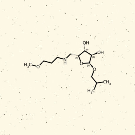 COCCCNC[C@H]1O[C@H](OCC(C)C)[C@H](O)[C@H]1O